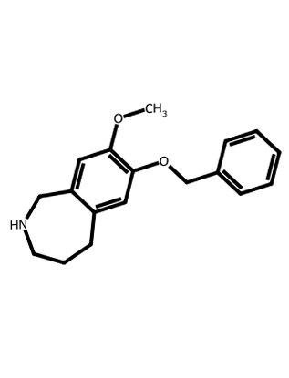 COc1cc2c(cc1OCc1ccccc1)CCCNC2